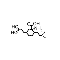 CN(C)CCC1CCC(CCB(O)O)CC1(N)C(=O)O